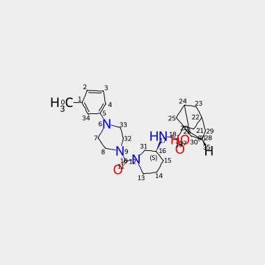 Cc1cccc(N2CCN(C(=O)N3CCC[C@H](NC(=O)C45CC6CC(C4)C(O)[C@H](C6)C5)C3)CC2)c1